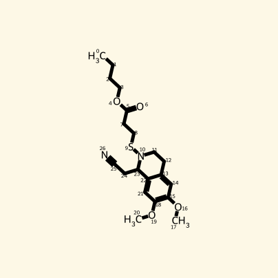 CCCCOC(=O)CCSN1CCc2cc(OC)c(OC)cc2C1CC#N